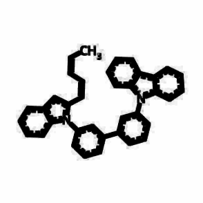 C/C=C\C=C/c1cc2ccccc2n1-c1cccc(-c2cccc(-n3c4ccccc4c4ccccc43)c2)c1